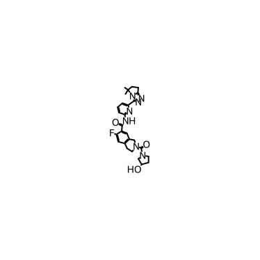 CC1(C)CCc2nnc(-c3cccc(NC(=O)c4cc5c(cc4F)CCN(C(=O)N4CC[C@@H](O)C4)C5)n3)n21